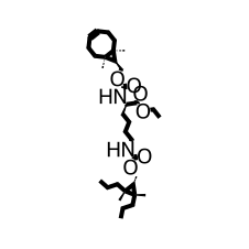 CCC[C@@]1(C)[C@@H](COC(=O)NCCCC[C@@H](NC(=O)OC[C@@H]2[C@]3(C)CCC#CCC[C@]23C)C(=O)OCC)[C@@]1(C)CCC